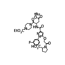 CCOC(=O)N1CCN(C(=O)C(CC(=O)OC(C)(C)C)NC(=O)c2cc(OCC(=O)N3CCCC3C(=O)O)n(-c3cccc(F)c3)n2)CC1